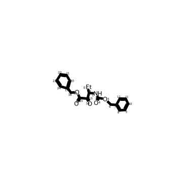 CCC(NC(=O)OCc1ccccc1)C(=O)C(=O)OCc1ccccc1